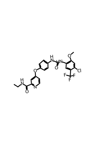 CCNC(=O)c1cc(Oc2ccc(NC(=O)Nc3cc(C(F)(F)F)c(Cl)cc3OC)cc2)ccn1